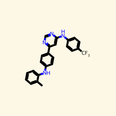 Cc1ccccc1Nc1ccc(-c2cc(Nc3ccc(C(F)(F)F)cc3)ncn2)cc1